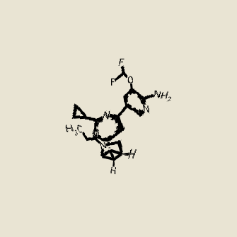 CCC(=O)N1C[C@@H]2[C@@H]3C1[C@@]23c1cc(-c2cnc(N)c(OC(F)F)c2)nc(C2CC2)n1